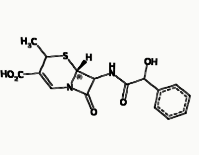 CC1S[C@@H]2C(NC(=O)C(O)c3ccccc3)C(=O)N2C=C1C(=O)O